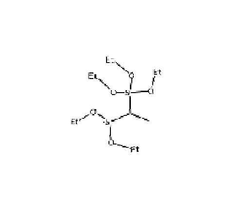 CCO[Si](OCC)C(C)[Si](OCC)(OCC)OCC